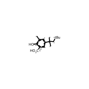 Cc1cc(C(C)(C)CC(C)(C)C)cc(C(=O)O)c1O